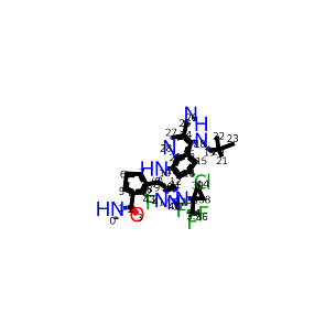 CNC(=O)c1cccc([C@H](Nc2cc(Cl)cc3c(NCC(C)(C)C)c(C#N)cnc23)c2cn(C3(C(F)(F)F)CC3)nn2)c1F